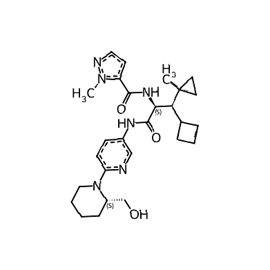 Cn1nccc1C(=O)N[C@H](C(=O)Nc1ccc(N2CCCC[C@H]2CO)nc1)C(C1CCC1)C1(C)CC1